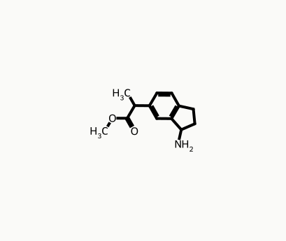 COC(=O)C(C)c1ccc2c(c1)C(N)CC2